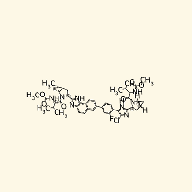 COC(=O)NC(C(=O)N1[C@@H]2C[C@@H]2C[C@H]1c1nc(Cl)c(-c2ccc(-c3ccc4c(ccc5nc([C@@H]6CC7C([C@@H]7C)N6C(=O)[C@@H](NC(=O)OC)C(C)C)[nH]c54)c3)cc2F)[nH]1)C(C)C